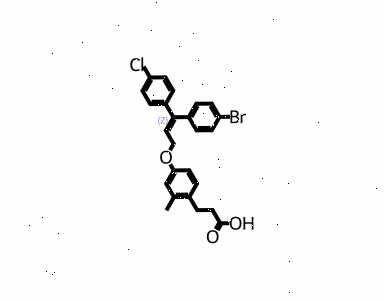 Cc1cc(OC/C=C(/c2ccc(Cl)cc2)c2ccc(Br)cc2)ccc1CCC(=O)O